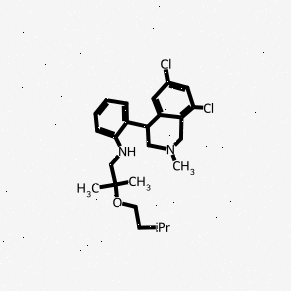 CC(C)CCOC(C)(C)CNc1ccccc1C1CN(C)Cc2c(Cl)cc(Cl)cc21